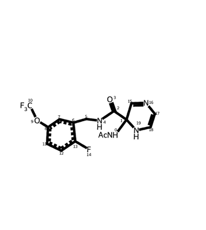 CC(=O)NC1(C(=O)NCc2cc(OC(F)(F)F)ccc2F)C=NC=CN1